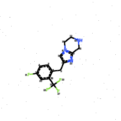 Fc1ccc(Cc2cn3c(n2)CNCC3)c(C(F)(F)F)c1